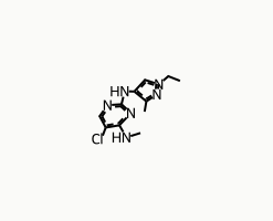 CCn1cc(Nc2ncc(Cl)c(NC)n2)c(C)n1